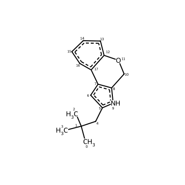 CC(C)(C)Cc1cc2c([nH]1)COc1ccccc1-2